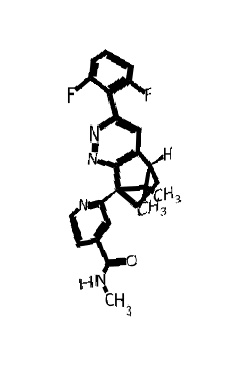 CNC(=O)c1ccnc([C@@]23CC[C@@H](c4cc(-c5c(F)cccc5F)nnc42)C3(C)C)c1